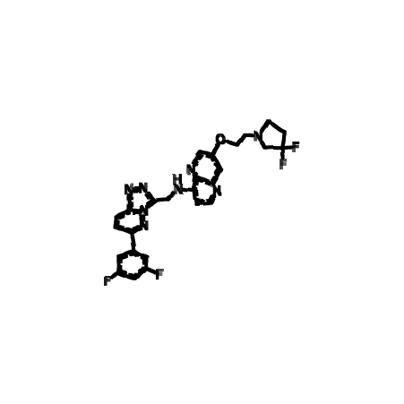 Fc1cc(F)cc(-c2ccc3nnc(CNc4ccnc5cc(OCCN6CCC(F)(F)C6)cnc45)n3n2)c1